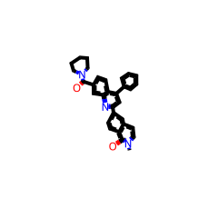 Cn1ccc2cc(-c3cc(-c4ccccc4)c4ccc(C(=O)N5CCCCC5)cc4n3)ccc2c1=O